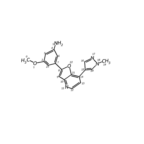 COc1cc(N)cc(-c2cc3nccc(-c4cnn(C)c4)c3o2)c1